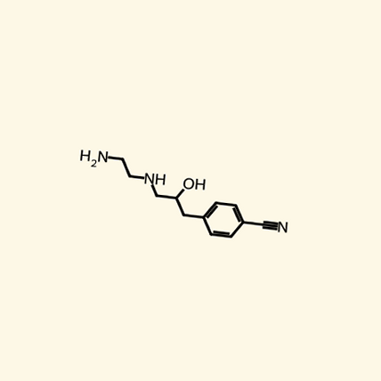 N#Cc1ccc(CC(O)CNCCN)cc1